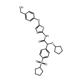 O=C(Nc1ncc(Oc2ccc(CO)cc2)s1)C(OC1CCCC1)c1ccc(S(=O)(=O)C2CCCC2)cc1